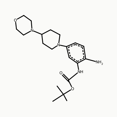 CC(C)(C)OC(=O)Nc1cc(N2CCC(N3CCOCC3)CC2)ccc1N